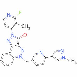 Cc1c(-n2nc3c4ccccc4n(Cc4ccc(-c5cnn(C)c5)nc4)nc-3c2=O)ccnc1F